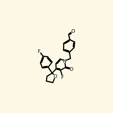 O=Cc1ccc(Cn2ccc(C3(c4ccc(F)cc4)CCCO3)c(F)c2=O)cc1